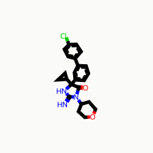 N=C1NC(c2cccc(-c3ccc(Cl)cc3)c2)(C2CC2)C(=O)N1C1CCOCC1